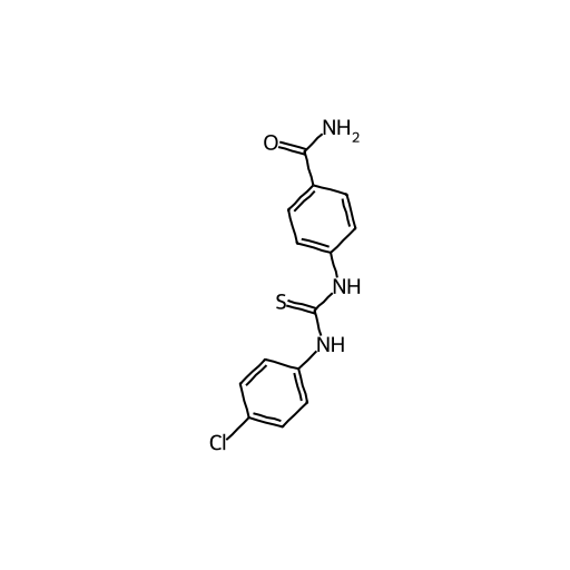 NC(=O)c1ccc(NC(=S)Nc2ccc(Cl)cc2)cc1